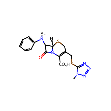 CC(=O)N(c1ccccc1)C1C(=O)N2C(C(=O)O)=C(CSc3nnnn3C)CS[C@@H]12